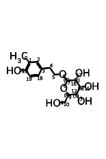 Cc1cc(CCO[C@@H]2O[C@H](CO)[C@@H](O)[C@H](O)[C@H]2O)ccc1O